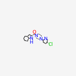 O=C(c1cc2ccccc2[nH]1)N1CCN(c2ccc(Cl)cn2)CC1